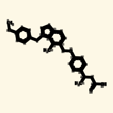 COc1ccc(Cn2ccc3ccc(COc4ccc(C(C)CC(=O)O)cc4)c(C)c32)cc1